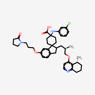 C[C@@H](COc1ccnc2c1[C@H](C)CCC2)CC1Cc2ccc(OCCCN3CCCC3=O)cc2C12CCC(Nc1cccc(Cl)c1)(C(=O)O)CC2